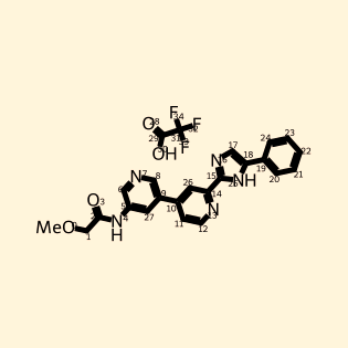 COCC(=O)Nc1cncc(-c2ccnc(-c3ncc(-c4ccccc4)[nH]3)c2)c1.O=C(O)C(F)(F)F